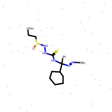 CCCCCCCCCCCC[S+]([O-])NNC(=S)NC(N=NC(C)(C)C)(C(C)C)C1CCCCC1